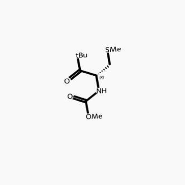 COC(=O)N[C@@H](CSC)C(=O)C(C)(C)C